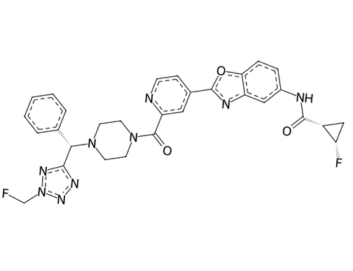 O=C(Nc1ccc2oc(-c3ccnc(C(=O)N4CCN([C@@H](c5ccccc5)c5nnn(CF)n5)CC4)c3)nc2c1)[C@@H]1C[C@@H]1F